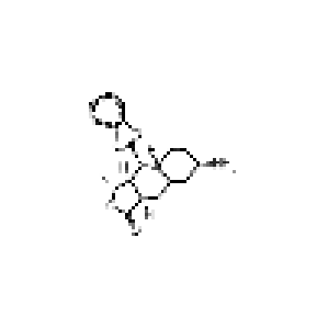 C[C@H]1OC(=O)[C@@H]2CC3C[C@H](N)CC[C@H]3[C@H](C3=Nc4ccccc4C3)[C@H]12